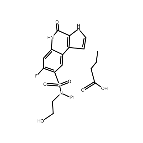 CC(C)N(CCO)S(=O)(=O)c1cc2c(cc1F)[nH]c(=O)c1[nH]ccc12.CCCC(=O)O